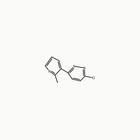 Cc1ncccc1-c1ccc(Cl)nn1